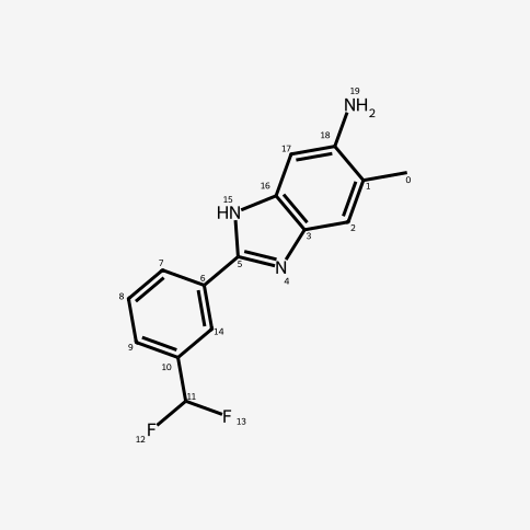 Cc1cc2nc(-c3cccc(C(F)F)c3)[nH]c2cc1N